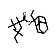 CCC(C)(C)CC(C)(C(=O)OC1(CC)C2CC3CC(C2)CC1C3)C(C)(C)C